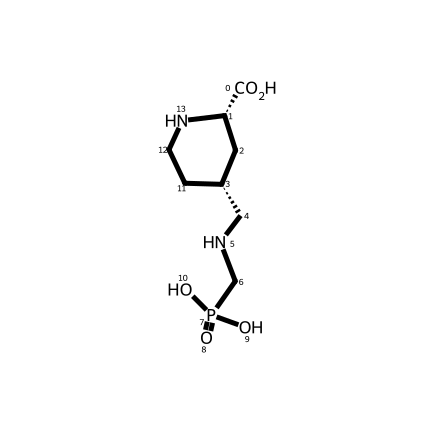 O=C(O)[C@@H]1C[C@H](CNCP(=O)(O)O)CCN1